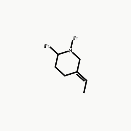 C/C=C1\CCC(C(C)C)N(C(C)C)C1